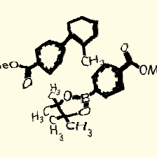 COC(=O)c1ccc(B2OC(C)(C)C(C)(C)O2)cc1.COC(=O)c1ccc(C2=C(C)CCCC2)cc1